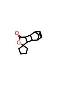 O=C1OC2(CCCC2)C2C1C1C3C=CC(C3)C12